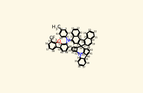 Cc1ccc(N(c2cc3c(c4ccccc24)-c2c(ccc4ccccc24)C32c3ccccc3-n3c4ccccc4c4cccc2c43)c2cccc3c2oc2c(C(F)(F)F)cccc23)cc1